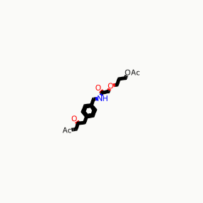 CC(=O)CC(=O)Cc1ccc(CNC(=O)COCCCOC(C)=O)cc1